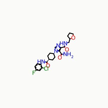 NC(=O)c1c(C(=O)NCC2CCCO2)ncn1[C@H]1CC[C@H](C(=O)Nc2ccc(F)cc2Cl)CC1